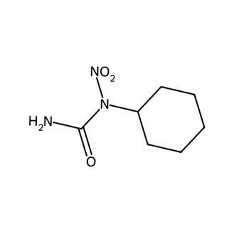 NC(=O)N(C1CCCCC1)[N+](=O)[O-]